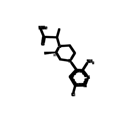 CNC(=O)C(C)N1CCN(c2cc(Cl)nnc2N)C[C@H]1C